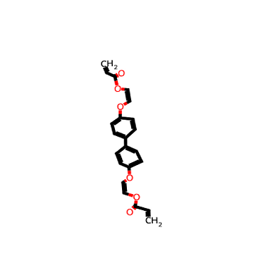 C=CC(=O)O/C=C\Oc1ccc(-c2ccc(O/C=C\OC(=O)C=C)cc2)cc1